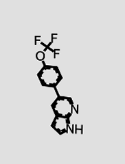 FC(F)(F)Oc1ccc(-c2cnc3[nH]ccc3c2)cc1